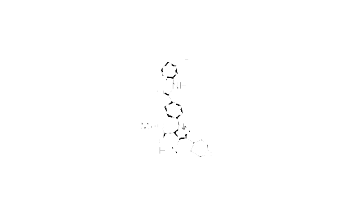 COC(=O)c1c(N)c(C2CCOCC2)nn1-c1ccc(C(=O)Nc2cc(C(F)(F)F)ccn2)cc1